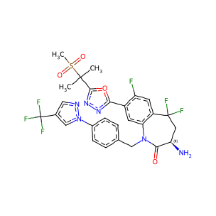 CC(C)(c1nnc(-c2cc3c(cc2F)C(F)(F)C[C@@H](N)C(=O)N3Cc2ccc(-n3cc(C(F)(F)F)cn3)cc2)o1)S(C)(=O)=O